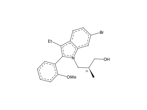 CCc1c(-c2ccccc2OC)n(C[C@H](C)CO)c2cc(Br)ccc12